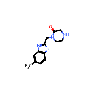 O=C1CNCCN1Cc1nc2cc(C(F)(F)F)ccc2[nH]1